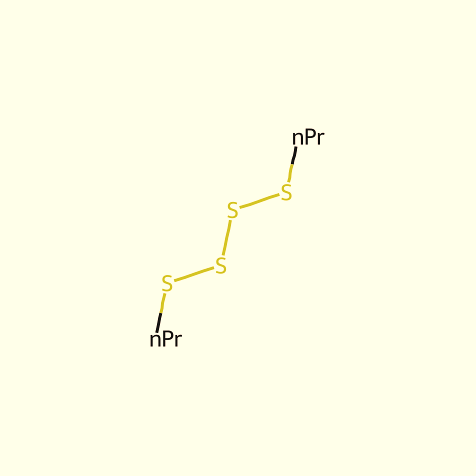 [CH2]CCSSSSCC[CH2]